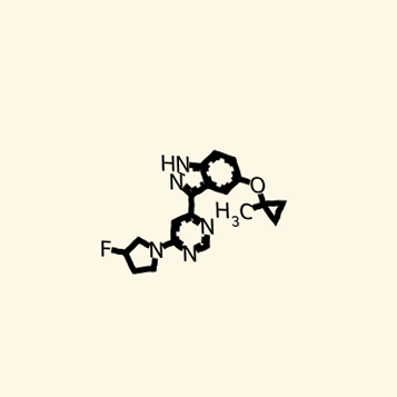 CC1(Oc2ccc3[nH]nc(-c4cc(N5CCC(F)C5)ncn4)c3c2)CC1